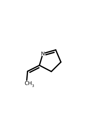 C/C=C1\CCC=N1